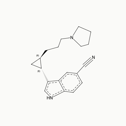 N#Cc1ccc2[nH]cc([C@@H]3C[C@H]3CCCN3CCCC3)c2c1